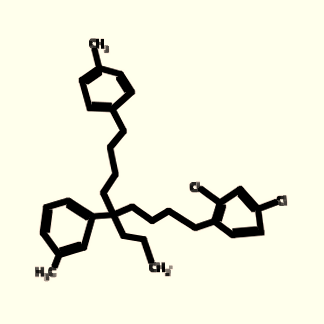 [CH2]CCC(CCCCc1ccc(C)cc1)(CCCCc1ccc(Cl)cc1Cl)c1cccc(C)c1